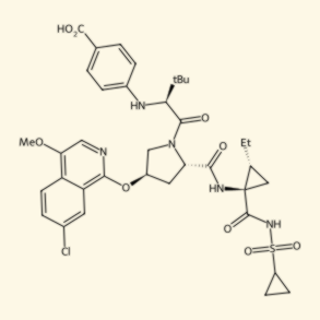 CC[C@@H]1C[C@]1(NC(=O)[C@@H]1C[C@@H](Oc2ncc(OC)c3ccc(Cl)cc23)CN1C(=O)[C@@H](Nc1ccc(C(=O)O)cc1)C(C)(C)C)C(=O)NS(=O)(=O)C1CC1